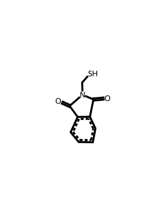 O=C1c2ccccc2C(=O)N1CS